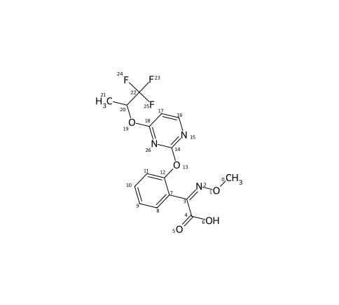 CON=C(C(=O)O)c1ccccc1Oc1nccc(OC(C)C(F)(F)F)n1